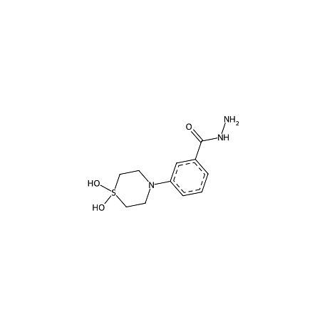 NNC(=O)c1cccc(N2CCS(O)(O)CC2)c1